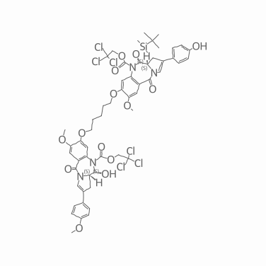 COc1ccc(C2=CN3C(=O)c4cc(OC)c(OCCCCCOc5cc6c(cc5OC)C(=O)N5C=C(c7ccc(O)cc7)C[C@H]5[C@H](O[Si](C)(C)C(C)(C)C)N6C(=O)OCC(Cl)(Cl)Cl)cc4N(C(=O)OCC(Cl)(Cl)Cl)[C@@H](O)[C@@H]3C2)cc1